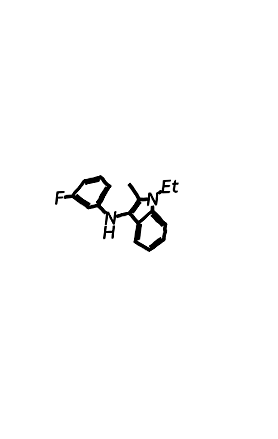 CCn1c(C)c(Nc2cccc(F)c2)c2ccccc21